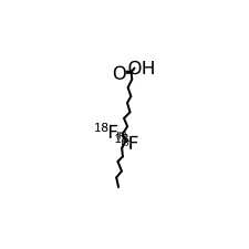 CCCCCC[C@H]([18F])[C@H]([18F])CCCCCCCC(=O)O